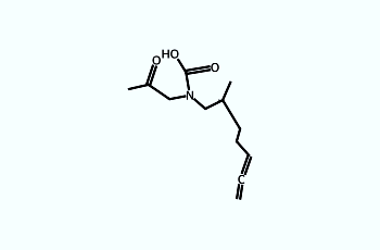 C=C=CCC[C](C)CN(CC(C)=O)C(=O)O